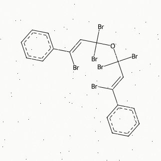 BrC(=CC(Br)(Br)OC(Br)(Br)C=C(Br)c1ccccc1)c1ccccc1